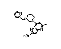 CCCCc1cc2nc(C)cc(N3CCC[C@H](Cn4cccn4)C3)n2n1